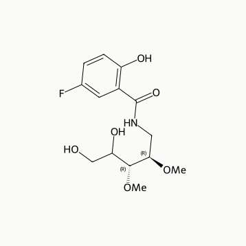 CO[C@H](C(O)CO)[C@@H](CNC(=O)c1cc(F)ccc1O)OC